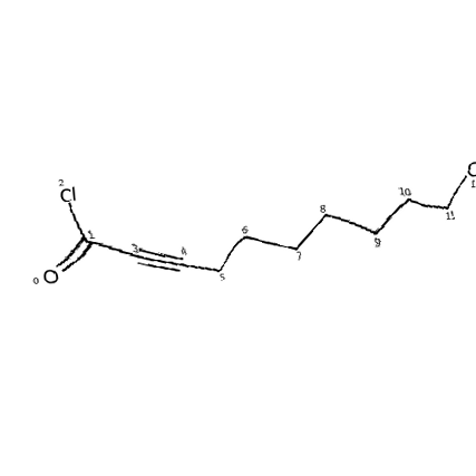 O=C(Cl)C#CCCCCCCCCl